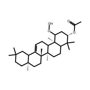 CC(=O)O[C@H]1CC(OO)[C@@]2(C)C(CC[C@]3(C)C2CC=C2C4CC(C)(C)CC[C@]4(C)CC[C@]23C)C1(C)C